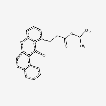 CC(C)OC(=O)CCc1cccc2oc3ccc4ccccc4c3c(=O)c12